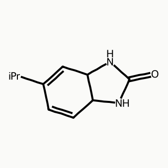 CC(C)C1=CC2NC(=O)NC2C=C1